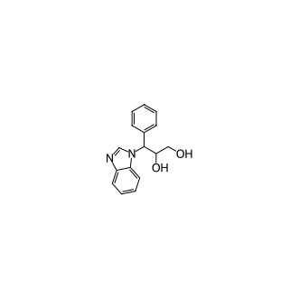 OCC(O)C(c1ccccc1)n1cnc2ccccc21